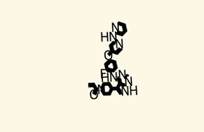 C=CC(=O)N1CCC(c2c[nH]c3ncnc(Nc4ccc(Oc5ccnc(Nc6ccccn6)c5)cc4F)c23)CC1